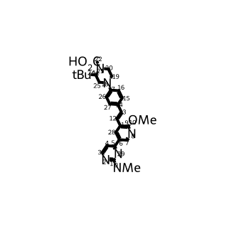 CNc1nccc(-c2cnc(OC)c(/C=C/c3ccc(N4CCN(C(=O)O)C(C(C)(C)C)C4)cc3)c2)n1